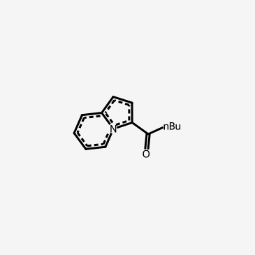 CCCCC(=O)c1ccc2ccccn12